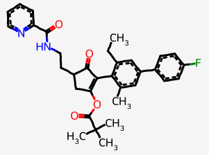 CCc1cc(-c2ccc(F)cc2)cc(C)c1C1=C(OC(=O)C(C)(C)C)CC(CCNC(=O)c2ccccn2)C1=O